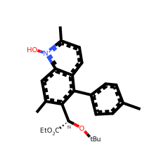 CCOC(=O)[C@@H](OC(C)(C)C)c1c(C)cc2c(ccc(C)[n+]2O)c1-c1ccc(C)cc1